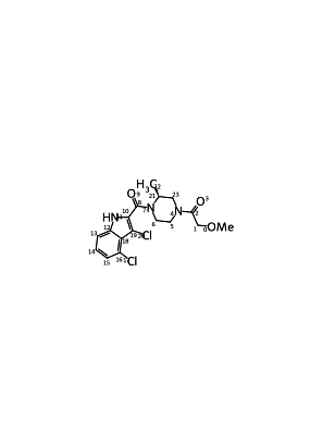 COCC(=O)N1CCN(C(=O)c2[nH]c3cccc(Cl)c3c2Cl)[C@@H](C)C1